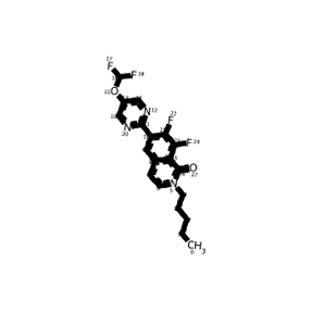 CCCCCn1ccc2cc(-c3ncc(OC(F)F)cn3)c(F)c(F)c2c1=O